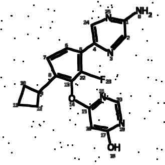 Nc1cnc(-c2ccc(C3CCC3)c(Oc3cc(O)ncn3)c2F)cn1